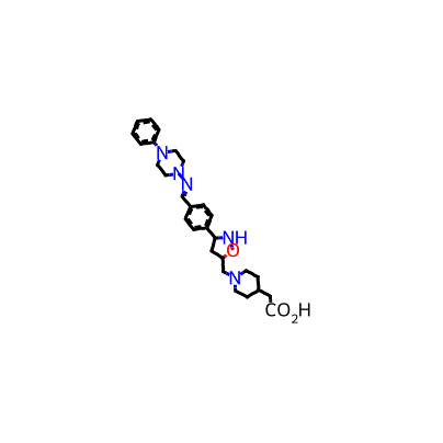 O=C(O)CC1CCN(CC2CC(c3ccc(C=NN4CCN(c5ccccc5)CC4)cc3)NO2)CC1